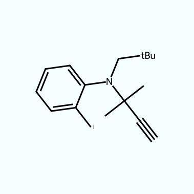 [CH]c1ccccc1N(CC(C)(C)C)C(C)(C)C#C